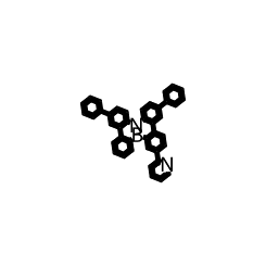 c1ccc(-c2ccc3c(c2)-c2ccccc2B2c4cc(-c5ccccn5)ccc4-c4cc(-c5ccccc5)ccc4N23)cc1